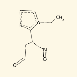 CCn1ccnc1C(CC=O)N=O